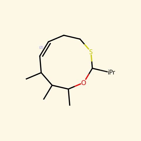 CC(C)C1OC(C)C(C)C(C)/C=C\CCS1